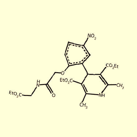 CCOC(=O)CNC(=O)COc1ccc([N+](=O)[O-])cc1C1C(C(=O)OCC)=C(C)NC(C)=C1C(=O)OCC